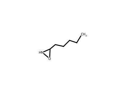 CCCCCC1NO1